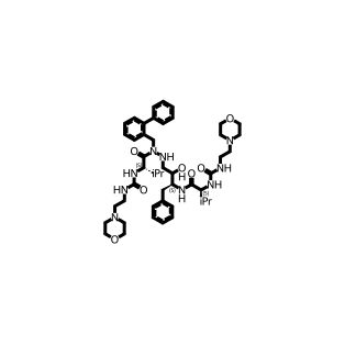 CC(C)[C@H](NC(=O)NCCN1CCOCC1)C(=O)N[C@@H](Cc1ccccc1)C(O)CNN(Cc1ccccc1-c1ccccc1)C(=O)[C@@H](NC(=O)NCCN1CCOCC1)C(C)C